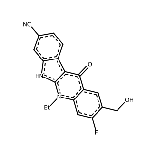 CCn1c2cc(F)c(CO)cc2c(=O)c2c3ccc(C#N)cc3[nH]c21